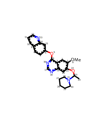 COc1cc2c(Oc3ccc4cccnc4c3)ncnc2cc1OC(C)N1CCCCC1